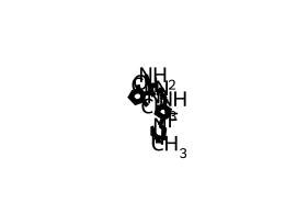 Cc1cccc(C)c1-c1nc(Nc2ccc(N3CCN(C)CC3)c(F)c2)ncc1C(N)=O